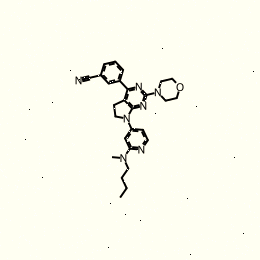 CCCCN(C)c1cc(N2CCc3c(-c4cccc(C#N)c4)nc(N4CCOCC4)nc32)ccn1